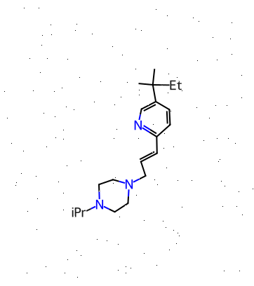 CCC(C)(C)c1ccc(/C=C/CN2CCN(C(C)C)CC2)nc1